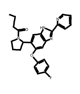 CCCC(=O)N1CCCC1c1cc2[nH]c(-c3ccccn3)nc2cc1Oc1ccc(F)cc1